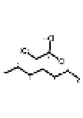 CCCCCCC.OCC(Cl)Cl